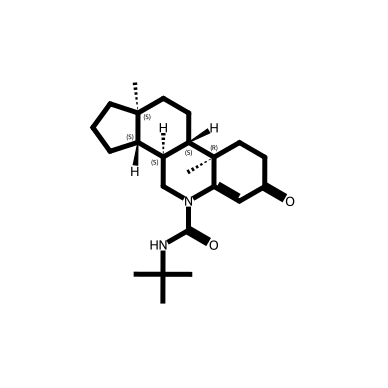 CC(C)(C)NC(=O)N1C[C@H]2[C@@H]3CCC[C@@]3(C)CC[C@@H]2[C@@]2(C)CCC(=O)C=C12